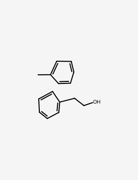 Cc1ccccc1.OCCc1ccccc1